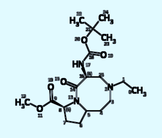 CCN1CCC2CC[C@@H](C(=O)OC)N2C(=O)[C@@H](NC(=O)OC(C)(C)C)C1